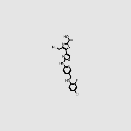 CC(O)c1nc(CC#N)c(-c2csc(Nc3ccc(CNc4ccc(Cl)cc4F)cn3)n2)s1